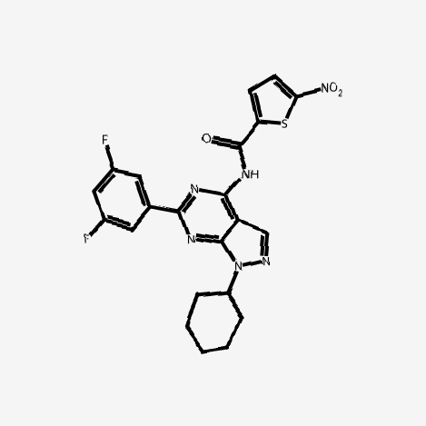 O=C(Nc1nc(-c2cc(F)cc(F)c2)nc2c1cnn2C1CCCCC1)c1ccc([N+](=O)[O-])s1